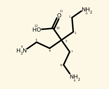 NCCC(CCN)(CCN)C(=O)O